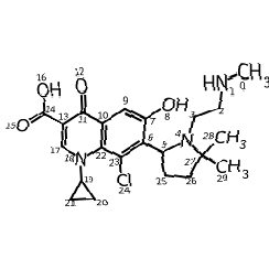 CNCCN1C(c2c(O)cc3c(=O)c(C(=O)O)cn(C4CC4)c3c2Cl)CCC1(C)C